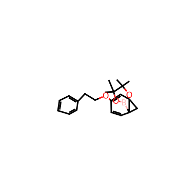 CC1(C)OB(C23C=CC(OCCc4ccccc4)=CC2C3)OC1(C)C